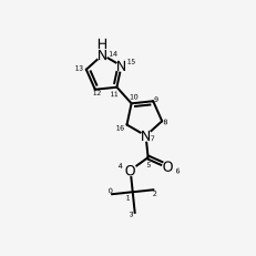 CC(C)(C)OC(=O)N1CC=C(c2cc[nH]n2)C1